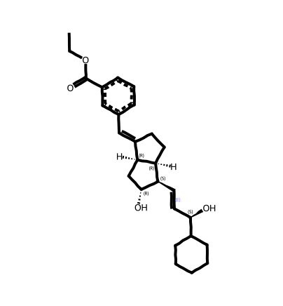 CCOC(=O)c1cccc(C=C2CC[C@H]3[C@@H](/C=C/[C@@H](O)C4CCCCC4)[C@H](O)C[C@@H]23)c1